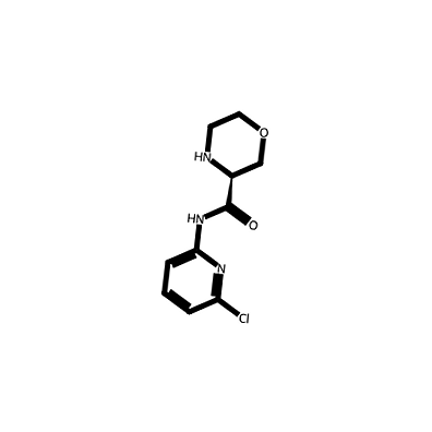 O=C(Nc1cccc(Cl)n1)[C@@H]1COCCN1